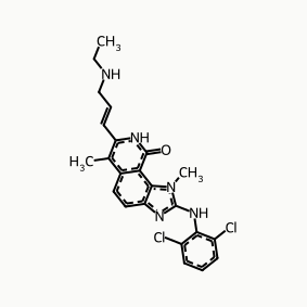 CCNCC=Cc1[nH]c(=O)c2c(ccc3nc(Nc4c(Cl)cccc4Cl)n(C)c32)c1C